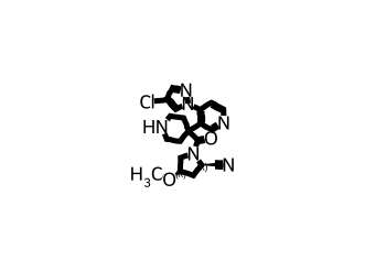 CO[C@@H]1C[C@H](C#N)N(C(=O)C2(c3cnccc3-n3cc(Cl)cn3)CCNCC2)C1